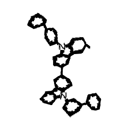 CC1C=c2c(n(-c3ccc(-c4ccccc4)cc3)c3ccc(-c4ccc5c(c4)c4ccccc4n5-c4cccc(-c5ccccc5)c4)cc23)=CC1